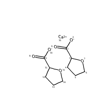 O=C([O-])C1CCCO1.O=C([O-])C1CCCO1.[Ca+2]